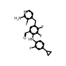 Nc1nccc(Cc2cc([C]=O)c(Nc3ccc(C4CC4)cc3F)c(F)c2F)c1F